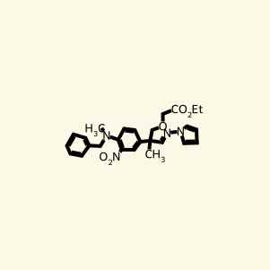 CCOC(=O)COCC(C)(C=Nn1cccc1)c1ccc(N(C)Cc2ccccc2)c([N+](=O)[O-])c1